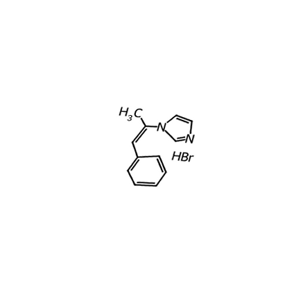 Br.CC(=Cc1ccccc1)n1ccnc1